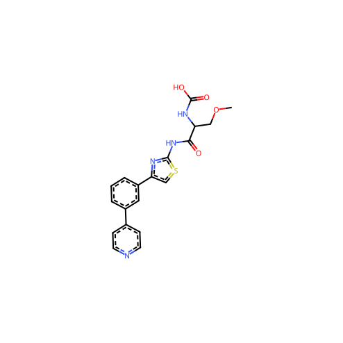 COCC(NC(=O)O)C(=O)Nc1nc(-c2cccc(-c3ccncc3)c2)cs1